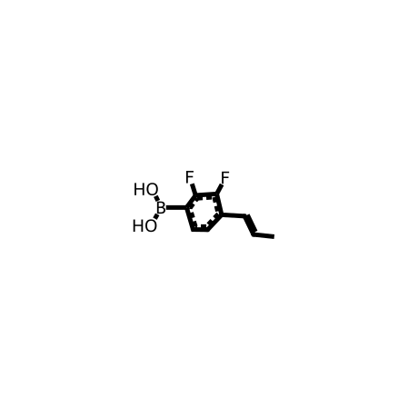 CC=Cc1ccc(B(O)O)c(F)c1F